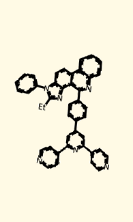 CCc1nc2c3c(-c4ccc(-c5cc(-c6ccncc6)nc(-c6ccncc6)c5)cc4)nc4ccccc4c3ccc2n1-c1ccccc1